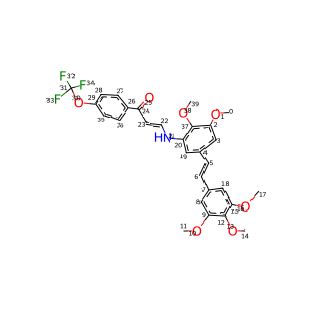 COc1cc(C=Cc2cc(OC)c(OC)c(OC)c2)cc(NC=CC(=O)c2ccc(OC(F)(F)F)cc2)c1OC